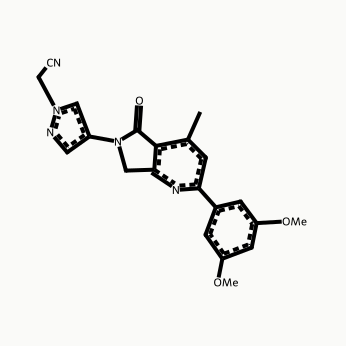 COc1cc(OC)cc(-c2cc(C)c3c(n2)CN(c2cnn(CC#N)c2)C3=O)c1